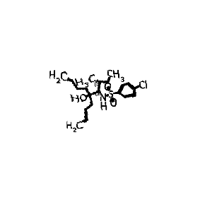 C=CCCC(O)(CCC=C)[C@@H](NS(=O)(=O)c1ccc(Cl)cc1)[C@@H](C)CC